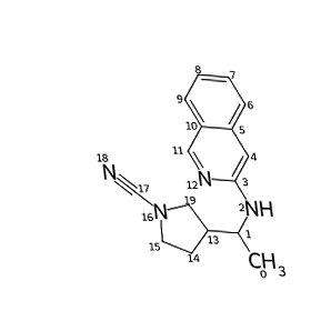 CC(Nc1cc2ccccc2cn1)C1CCN(C#N)C1